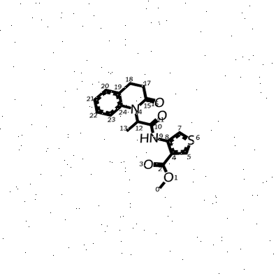 COC(=O)c1cscc1NC(=O)C(C)N1C(=O)CCc2ccccc21